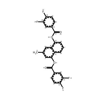 Cc1cc(OC(=O)c2ccc(F)c(F)c2)c2cccc(OC(=O)c3ccc(F)c(F)c3)c2c1